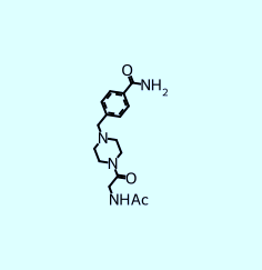 CC(=O)NCC(=O)N1CCN(Cc2ccc(C(N)=O)cc2)CC1